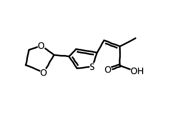 CC(=Cc1cc(C2OCCO2)cs1)C(=O)O